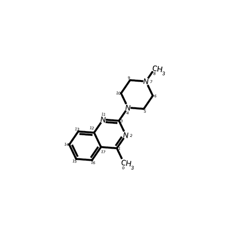 Cc1nc(N2CCN(C)CC2)nc2ccccc12